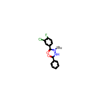 CC(C)(C)N(NC(=O)c1ccccc1)C(=O)c1ccc(F)c(Cl)c1